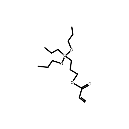 C=CC(=O)OCCC[Si](CCC)(OCCC)OCCC